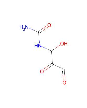 NC(=O)NC(O)C(=O)C=O